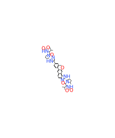 COC(=O)N[C@H](C(=O)N1CCC[C@H]1c1ncc(-c2ccc3c(c2)COc2cc4c(ccc5nc([C@@H]6CCC(C)N6C(=O)[C@@H](NC(=O)OC)C(C)C)[nH]c54)cc2-3)[nH]1)C(C)C